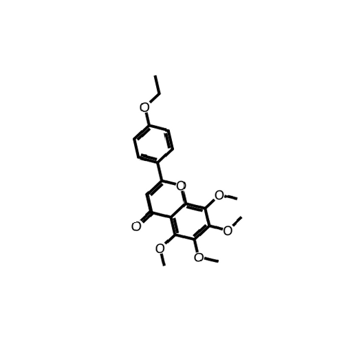 CCOc1ccc(-c2cc(=O)c3c(OC)c(OC)c(OC)c(OC)c3o2)cc1